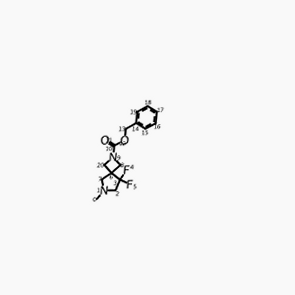 CN1CC(F)(F)C2(C1)CN(C(=O)OCc1ccccc1)C2